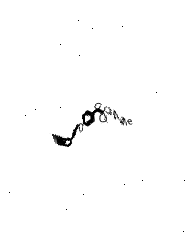 COC(=O)C(=O)c1ccc(OCC#Cc2ccccc2)cc1